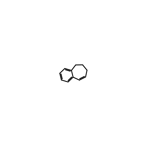 [C]1=CCCCc2ccccc21